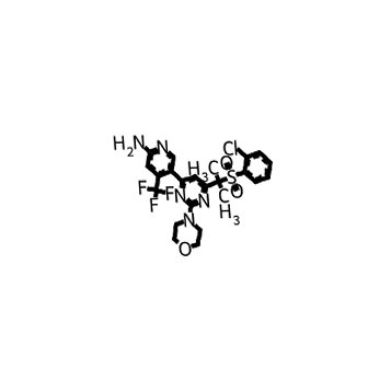 CC(C)(c1cc(-c2cnc(N)cc2C(F)(F)F)nc(N2CCOCC2)n1)S(=O)(=O)c1ccccc1Cl